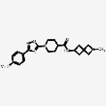 COc1ccc(-c2noc(N3CCC(C(=O)NC4CC5(C4)CN(C)C5)CC3)n2)cc1